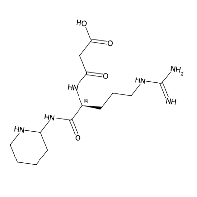 N=C(N)NCCC[C@H](NC(=O)CC(=O)O)C(=O)NC1CCCCN1